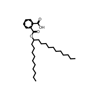 CCCCCCCCCCCC(CCCCCCCCCC)OC(=O)c1ccccc1C(=O)O